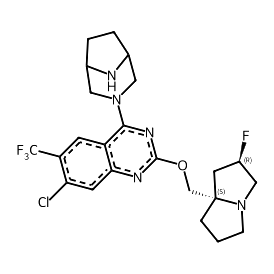 F[C@H]1CN2CCC[C@@]2(COc2nc(N3CC4CCC(C3)N4)c3cc(C(F)(F)F)c(Cl)cc3n2)C1